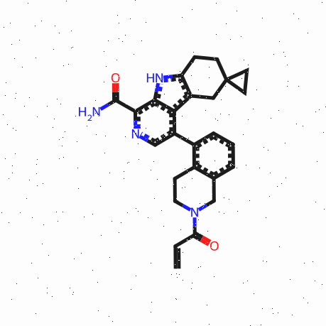 C=CC(=O)N1CCc2c(cccc2-c2cnc(C(N)=O)c3[nH]c4c(c23)CC2(CC4)CC2)C1